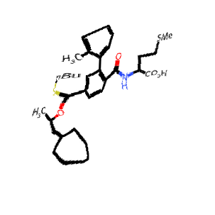 CCCCSC(OC(C)CC1CCCCC1)c1ccc(C(=O)NC(CCSC)C(=O)O)c(-c2ccccc2C)c1